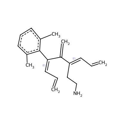 C=C/C=C(\CCN)C(=C)/C(=C\C=C)c1c(C)cccc1C